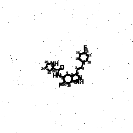 O=C(Nc1cc2c(/C=C/c3ccc(F)cc3)n[nH]c2cc1F)c1ccc[nH]1